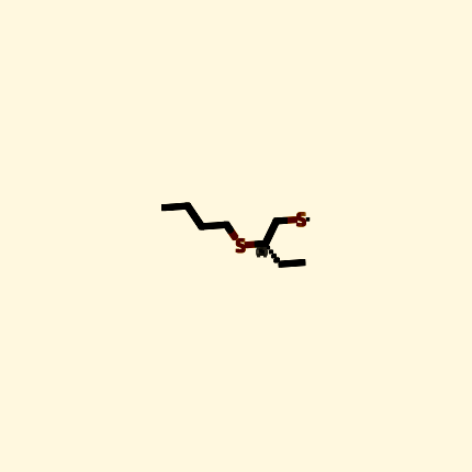 CCCCS[C@@H](CC)C[S]